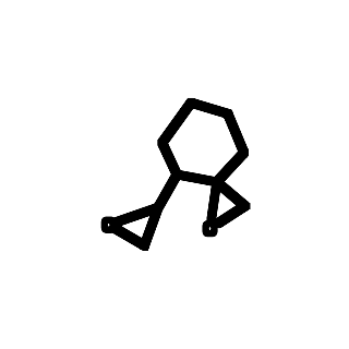 C1CCC2(CO2)C(C2CO2)C1